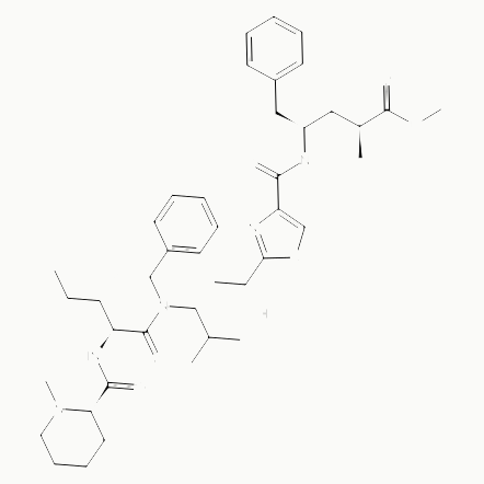 CC[C@H](C)[C@H](NC(=O)[C@H]1CCCCN1C)C(=O)N(Cc1ccccc1)[C@H](C[C@@H](O)c1nc(C(=O)N[C@@H](Cc2ccccc2)C[C@H](C)C(=O)OC)cs1)C(C)C